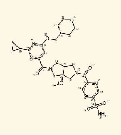 COC12CN(C(=O)c3cc(OCC4CCOCC4)nc(C4CC4)c3)CC1CN(C(=O)c1ccc(S(N)(=O)=O)cn1)C2